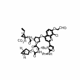 C=C[C@@H]1CC1(NC(=O)[C@@H]1CC(Oc2cc(-c3coc(NC(C)C)n3)nc3c(Cl)c(OCC=O)ccc23)CN1C(=O)[C@@H](NC(=O)O[C@@H]1C[C@@H]2C[C@@H]2C1)C(C)(C)C)C(=O)O